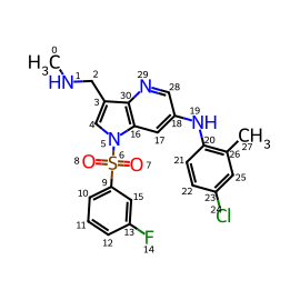 CNCc1cn(S(=O)(=O)c2cccc(F)c2)c2cc(Nc3ccc(Cl)cc3C)cnc12